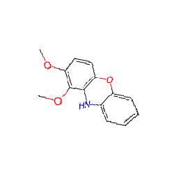 COc1ccc2c(c1OC)Nc1ccccc1O2